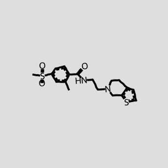 Cc1cc(S(C)(=O)=O)ccc1C(=O)NCCN1CCc2ccsc2C1